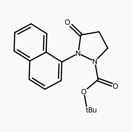 CC(C)(C)OC(=O)N1CCC(=O)N1c1cccc2ccccc12